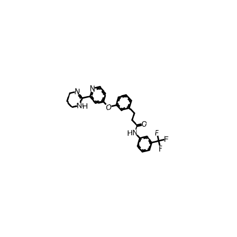 O=C(CCc1cccc(Oc2ccnc(C3=NCCCN3)c2)c1)Nc1cccc(C(F)(F)F)c1